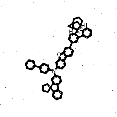 c1ccc(-c2ccc(N(c3ccc4c(c3)C3(CCCC3)c3ccccc3-4)c3ccc4c(c3)oc3cc(-c5ccc6c(c5)-c5ccccc5[C@@]65[C@@H]6CCCC7(C6)C[C@H]75)ccc34)cc2)cc1